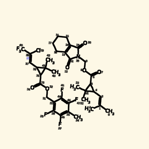 CC(C)=CC1C(C(=O)OCN2C(=O)C3=C(CCCC3)C2=O)C1(C)C.Cc1c(F)c(F)c(COC(=O)C2C(/C=C(\Cl)C(F)(F)F)C2(C)C)c(F)c1F